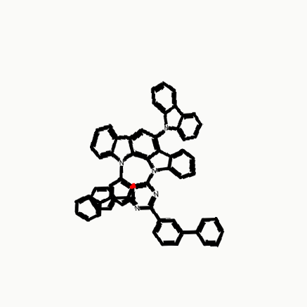 c1ccc(-c2cccc(-c3nc(-c4ccccc4)nc(-n4c5ccccc5c5c(-n6c7ccccc7c7ccccc76)cc6c7ccccc7n(-c7cccc(-c8ccccc8)c7)c6c54)n3)c2)cc1